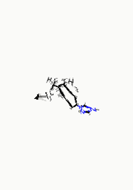 Cc1cc(-n2cncn2)ccc1C(C)C